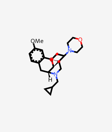 COc1ccc2c(c1)[C@]13CCN(CC4CC4)[C@H](C2)[C@]12CCC(N1CCOCC1)(CO2)C3